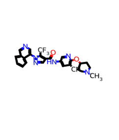 CN1CCC(Oc2ncc(NC(=O)c3cnn(-c4cncc5ccccc45)c3C(F)(F)F)cc2C#N)CC1